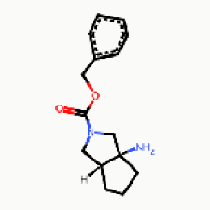 N[C@@]12CCC[C@@H]1CN(C(=O)OCc1ccccc1)C2